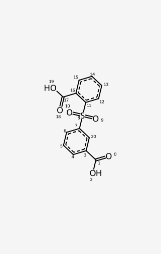 O=C(O)c1cccc(S(=O)(=O)c2ccccc2C(=O)O)c1